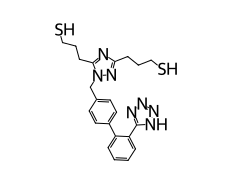 SCCCc1nc(CCCS)n(Cc2ccc(-c3ccccc3-c3nnn[nH]3)cc2)n1